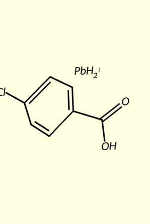 O=C(O)c1ccc(Cl)cc1.[PbH2]